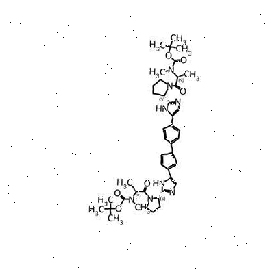 C[C@@H](C(=O)N1CCC[C@H]1c1ncc(-c2ccc(-c3ccc(-c4cnc([C@@H]5CCCN5C(=O)[C@H](C)N(C)C(=O)OC(C)(C)C)[nH]4)cc3)cc2)[nH]1)N(C)C(=O)OC(C)(C)C